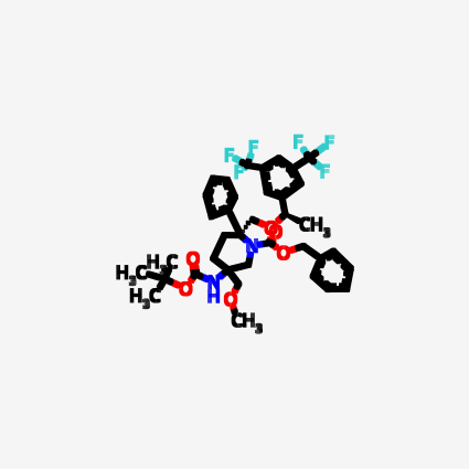 COCC1(NC(=O)OC(C)(C)C)CC[C@@](CO[C@H](C)c2cc(C(F)(F)F)cc(C(F)(F)F)c2)(c2ccccc2)N(C(=O)OCc2ccccc2)C1